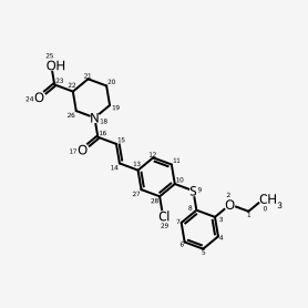 CCOc1ccccc1Sc1ccc(C=CC(=O)N2CCCC(C(=O)O)C2)cc1Cl